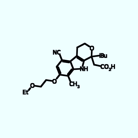 CCOCCOc1cc(C#N)c2c3c([nH]c2c1C)C(CC(=O)O)(C(C)CC)OCC3